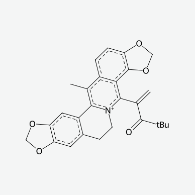 C=C(C(=O)C(C)(C)C)c1c2c3c(ccc2c(C)c2[n+]1CCc1cc4c(cc1-2)OCO4)OCO3